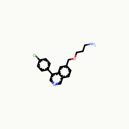 NCCCOCc1ccc2cncc(-c3ccc(Cl)cc3)c2c1